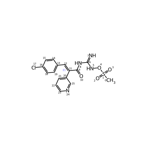 CS(=O)(=O)ONC(=N)NC(=O)/C(=C/c1ccc(Cl)cc1)c1cccnc1